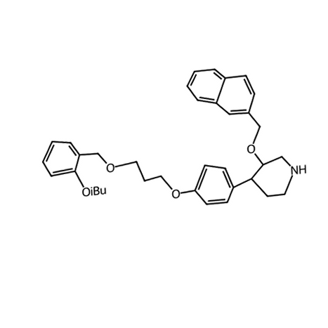 CC(C)COc1ccccc1COCCCOc1ccc(C2CCNCC2OCc2ccc3ccccc3c2)cc1